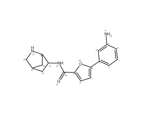 Nc1cccc(-c2ccc(C(=O)NC3CC4CNC3C4)o2)c1